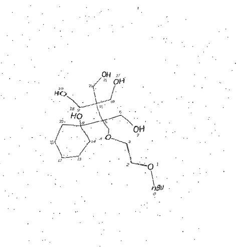 CCCCOCCOC(CO)(C1(O)CCCCC1)C(CO)(CO)CO